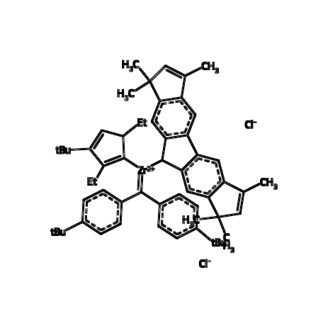 CCC1=[C]([Zr+2](=[C](c2ccc(C(C)(C)C)cc2)c2ccc(C(C)(C)C)cc2)[CH]2c3cc4c(cc3-c3cc5c(cc32)C(C)(C)C=C5C)C(C)=CC4(C)C)C(CC)C=C1C(C)(C)C.[Cl-].[Cl-]